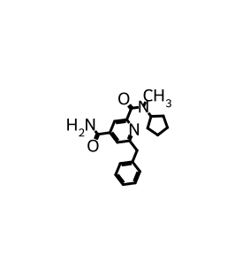 CN(C(=O)c1cc(C(N)=O)cc(Cc2ccccc2)n1)C1CCCC1